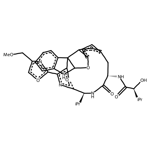 COCc1coc(-c2nc3oc2C24c5ccccc5NC2Oc2ccc(cc24)C[C@H](NC(=O)[C@@H](O)C(C)C)C(=O)N[C@H]3C(C)C)n1